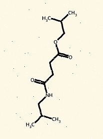 CC(C)CNC(=O)CCC(=O)OCC(C)C